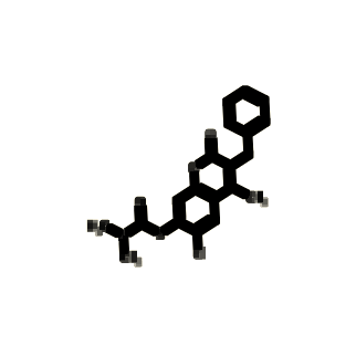 Cc1c(Cc2ccccc2)c(=O)oc2cc(SC(=O)N(C)C)c(Cl)cc12